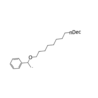 [CH2]C(OCCCCCCCCCCCCCCCCCC)c1ccccc1